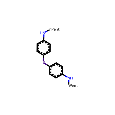 CCCCCNc1ccc([I+]c2ccc(NCCCCC)cc2)cc1